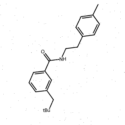 Cc1ccc(CCNC(=O)c2cccc(CC(C)(C)C)c2)cc1